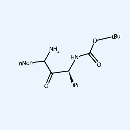 CCCCCCCCCC(N)C(=O)[C@@H](NC(=O)OC(C)(C)C)C(C)C